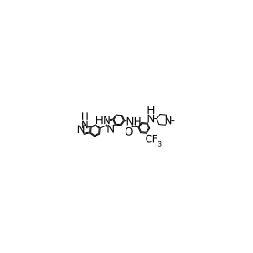 CN1CCC(Nc2cc(C(=O)Nc3ccc4[nH]c(-c5ccc6cn[nH]c6c5)nc4c3)cc(C(F)(F)F)c2)CC1